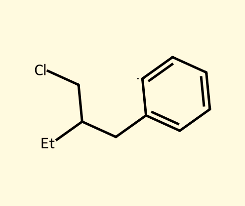 CCC(CCl)Cc1[c]cccc1